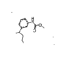 CCCC(C)c1cccc(NC(=O)OC)c1